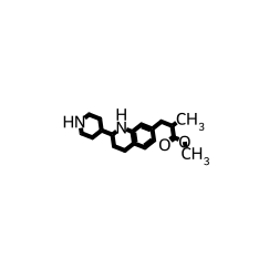 COC(=O)C(C)Cc1ccc2c(c1)NC(C1CCNCC1)CC2